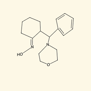 O/N=C1\CCCCC1C(c1ccccc1)N1CCOCC1